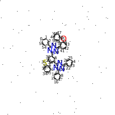 c1ccc(-c2nc(-c3cc(-c4nc(-c5ccccc5)nc(-c5ccccc5)n4)c4c(c3)sc3ccccc34)nc(-c3cccc4oc5ccccc5c34)n2)cc1